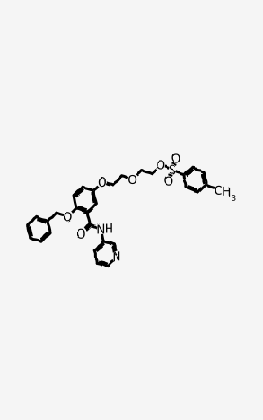 Cc1ccc(S(=O)(=O)OCCOCCOc2ccc(OCc3ccccc3)c(C(=O)Nc3cccnc3)c2)cc1